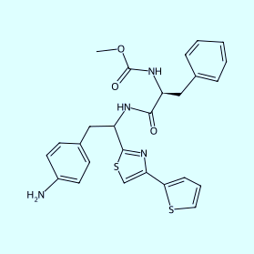 COC(=O)N[C@@H](Cc1ccccc1)C(=O)NC(Cc1ccc(N)cc1)c1nc(-c2cccs2)cs1